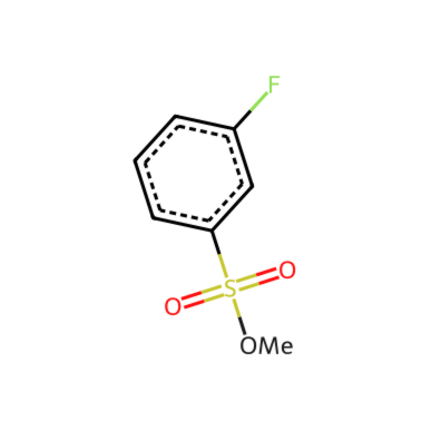 COS(=O)(=O)c1cccc(F)c1